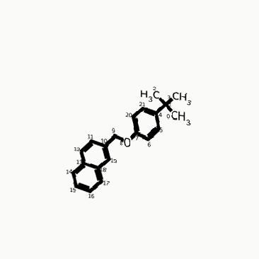 CC(C)(C)c1ccc(OCc2ccc3ccccc3c2)cc1